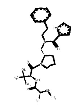 CN[C@@H](C)C(=O)N[C@H](C(=O)N1CCC[C@H]1CN(CCc1ccccc1)C(=O)c1ccc[nH]1)C(C)(C)C